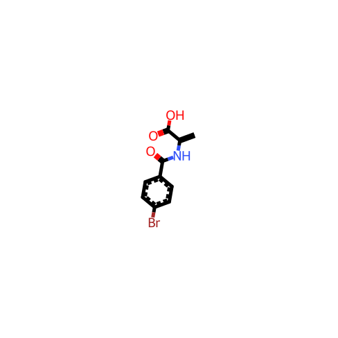 C=C(NC(=O)c1ccc(Br)cc1)C(=O)O